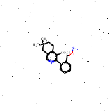 CC1(C)CCc2c(cnc(-c3ccccc3CON)c2C(=O)O)C1